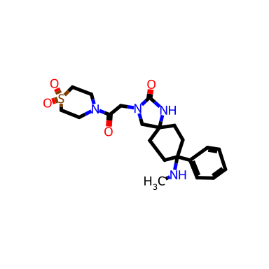 CNC1(c2ccccc2)CCC2(CC1)CN(CC(=O)N1CCS(=O)(=O)CC1)C(=O)N2